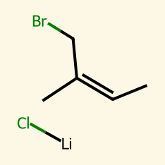 CC=C(C)CBr.[Li][Cl]